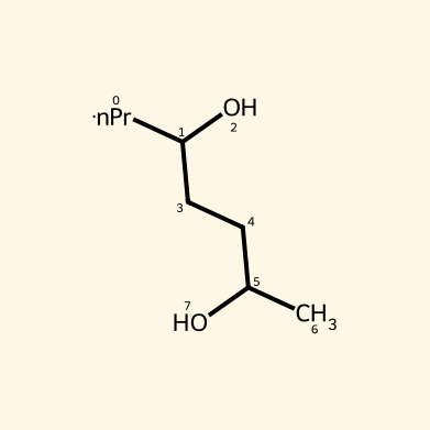 CC[CH]C(O)CCC(C)O